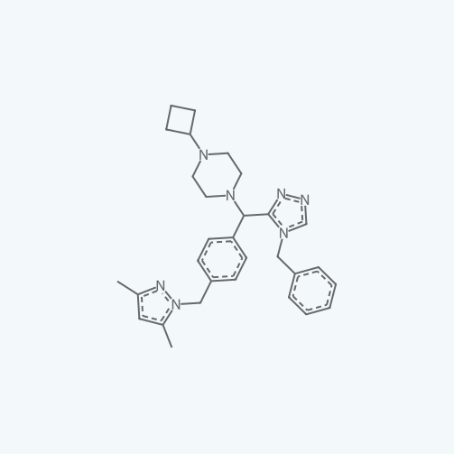 Cc1cc(C)n(Cc2ccc(C(c3nncn3Cc3ccccc3)N3CCN(C4CCC4)CC3)cc2)n1